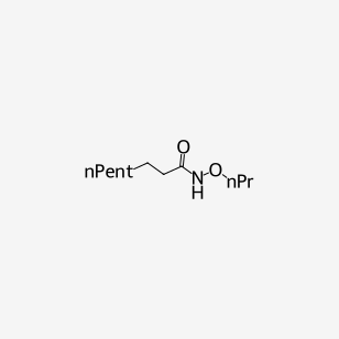 CCCCCCCC(=O)NOCCC